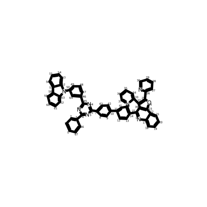 c1ccc(-c2nc(-c3ccc(-c4ccc(-c5nc6ccccc6c6oc(-c7ccccn7)c(-c7ccccn7)c56)cc4)cc3)nc(-c3cccc(-n4c5ccccc5c5ccccc54)c3)n2)cc1